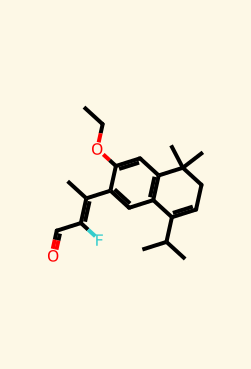 CCOc1cc2c(cc1C(C)=C(F)C=O)C(C(C)C)=CCC2(C)C